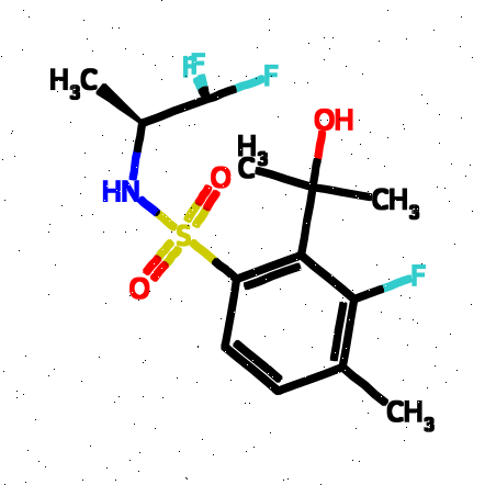 Cc1ccc(S(=O)(=O)N[C@@H](C)C(F)(F)F)c(C(C)(C)O)c1F